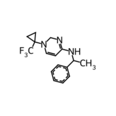 CC(NC1=NCN(C2(C(F)(F)F)CC2)C=C1)c1ccccc1